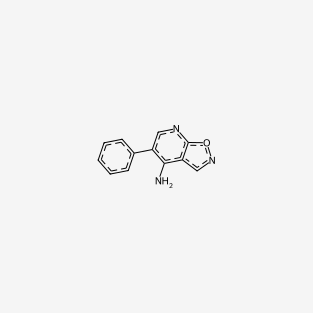 Nc1c(-c2ccccc2)cnc2oncc12